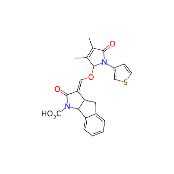 CC1=C(C)C(OC=C2C(=O)N(C(=O)O)C3c4ccccc4CC23)N(c2ccsc2)C1=O